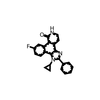 O=c1[nH]ccc2c3nc(-c4ccccc4)n(C4CC4)c3c3ccc(F)cc3c12